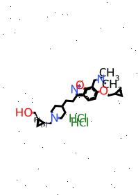 CN(C)Cc1c(OCC2CC2)ccc2c(CCC3CCN(C[C@H]4C[C@H]4CO)CC3)noc12.Cl.Cl